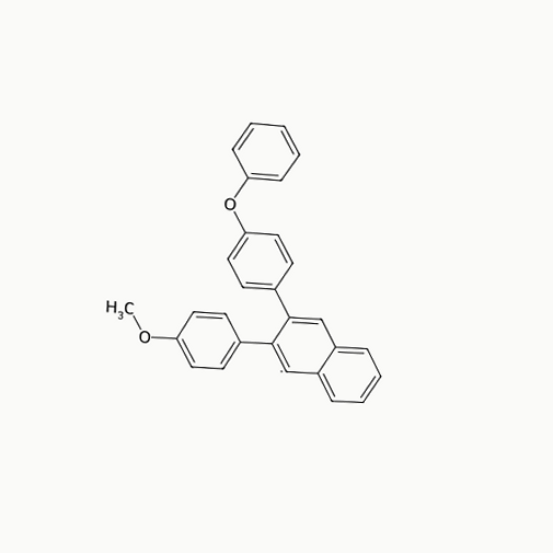 COc1ccc(-c2[c]c3ccccc3cc2-c2ccc(Oc3ccccc3)cc2)cc1